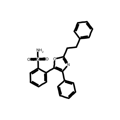 NS(=O)(=O)c1ccccc1-c1oc(CCc2ccccc2)nc1-c1ccccc1